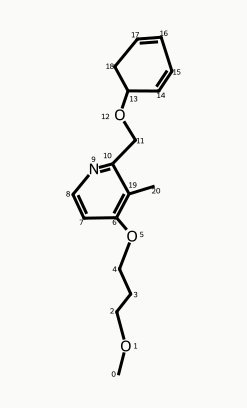 COCCCOc1ccnc(COC2C=CC=CC2)c1C